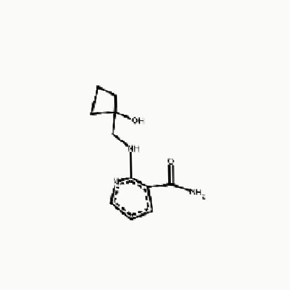 NC(=O)c1cccnc1NCC1(O)CCC1